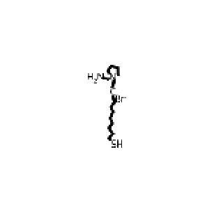 NC[N+]1(CCCCCCCCCCCCS)CCCC1.[Br-]